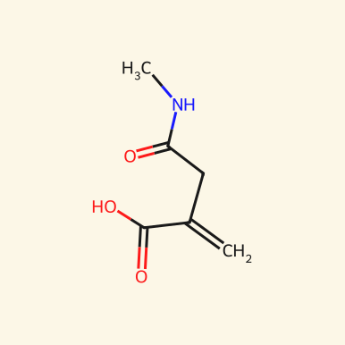 C=C(CC(=O)NC)C(=O)O